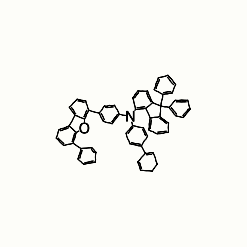 C1=CC(c2ccc(N(c3ccc(-c4cccc5c4oc4c(-c6ccccc6)cccc45)cc3)c3cccc4c3-c3ccccc3C4(c3ccccc3)c3ccccc3)cc2)=CCC1